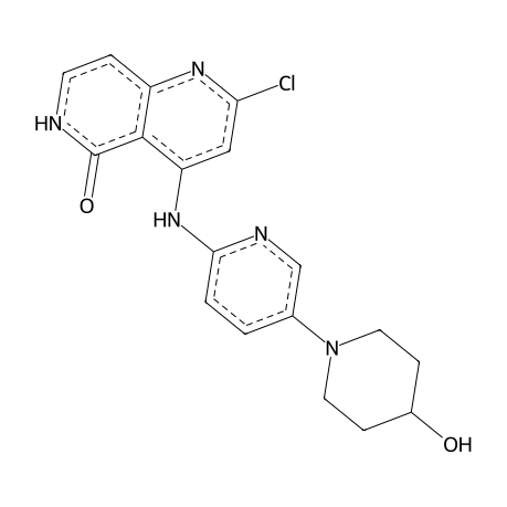 O=c1[nH]ccc2nc(Cl)cc(Nc3ccc(N4CCC(O)CC4)cn3)c12